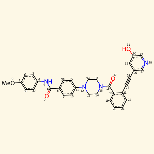 COc1ccc(NC(=O)c2ccc(N3CCN(C(=O)c4ccccc4C#Cc4cncc(O)c4)CC3)cc2)cc1